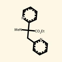 CCOC(=O)C(Cc1ccccn1)(NC)c1ccccn1